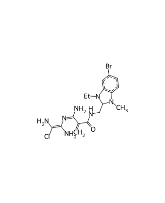 C=C(C(=O)NCC1N(C)c2ccc(Br)cc2N1CC)/C(N)=N\C(N)=C(/N)Cl